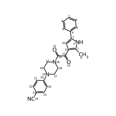 Cc1[nH]c(-c2ccccc2)cc1C(=O)C(=O)N1CCN(c2ccc(C#N)cc2)CC1